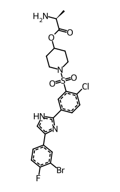 C[C@H](N)C(=O)OC1CCN(S(=O)(=O)c2cc(-c3nc(-c4ccc(F)c(Br)c4)c[nH]3)ccc2Cl)CC1